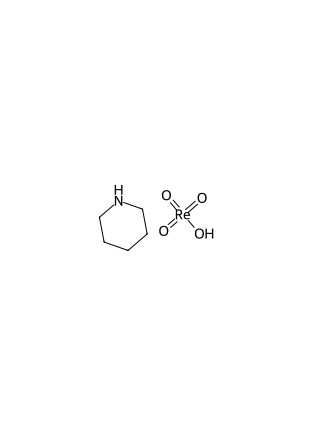 C1CCNCC1.[O]=[Re](=[O])(=[O])[OH]